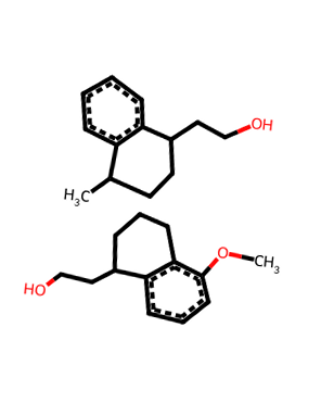 CC1CCC(CCO)c2ccccc21.COc1cccc2c1CCCC2CCO